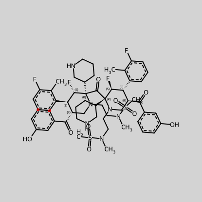 Cc1c(F)cccc1[C@@H]1[C@@H](C(=O)c2cccc(O)c2)CN(CCN(C)S(C)(=O)=O)[C@@](C(=O)[C@]2(C3CCCNC3)[C@@H](F)[C@H](c3cccc(F)c3C)[C@@H](C(=O)c3cccc(O)c3)CN2CCN(C)S(C)(=O)=O)(C2CCCNC2)[C@H]1F